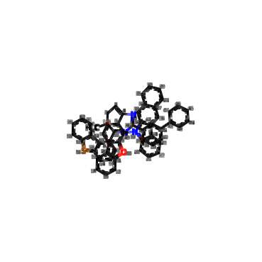 CC1C/C=C(c2ccc3c(oc4ccccc43)c2-n2c3ccccc3c3cc4ccccc4cc32)/N=C(c2cccc(-c3ccccc3)c2)\N=C/1c1cccc2sc3ccccc3c12